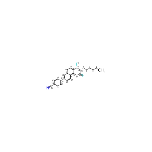 CCCCCC[C@H]1C(F)c2ccc3cc(-c4ccc(C#N)cc4)ccc3c2C[C@@H]1F